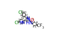 O=C(Nc1ccc(C(F)(F)F)cc1)N1CC(c2ccc(Cl)nn2)C(c2ccc(Cl)cc2)=N1